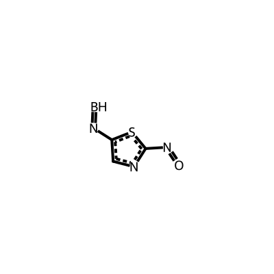 B=Nc1cnc(N=O)s1